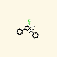 C[Si](C)(c1ccccc1)[C]1([Ti+3])C=CC(c2ccccc2)=C1.[Cl-].[Cl-].[Cl-]